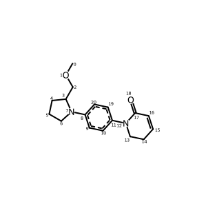 COCC1CCCN1c1ccc(N2CCC=CC2=O)cc1